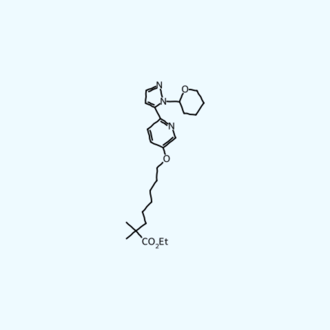 CCOC(=O)C(C)(C)CCCCCCOc1ccc(-c2ccnn2C2CCCCO2)nc1